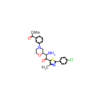 COC(=O)c1cccc(N2CCOC(C(N)C(=O)c3sc(-c4ccc(Cl)cc4)nc3C)C2)c1